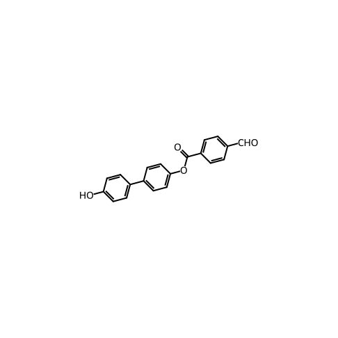 O=Cc1ccc(C(=O)Oc2ccc(-c3ccc(O)cc3)cc2)cc1